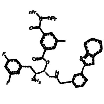 CCCN(CCC)C(=O)c1cc(C)cc(C(=O)O[C@H](CNCc2cccc(-c3cc4ccccc4s3)c2)[C@@H](N)Cc2cc(F)cc(F)c2)c1